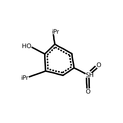 CC(C)c1cc([SH](=O)=O)cc(C(C)C)c1O